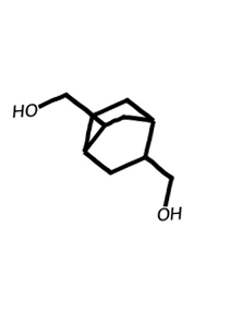 OCC1CC2CCC1CC2CO